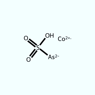 O=S(=O)(O)[As-2].[Co+2]